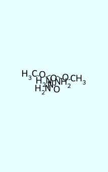 CCOCCOCCOCC.NC(=O)N(N)N